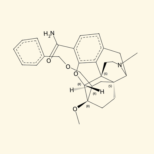 CO[C@]12CC[C@@]3(C[C@@H]1COCc1ccccc1)C1Cc4ccc(C(N)=O)c5c4[C@@]3(CCN1C)[C@H]2O5